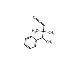 CC(c1ccccc1)C(C)(C)N=C=O